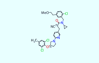 COCCc1ccc(Cl)c(CN(C(=O)[C@@H](C#N)Cc2ccc(N3CC[C@@H](Oc4c(Cl)cc(C)cc4Cl)C3)nc2)C2CC2)c1